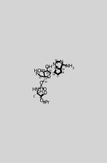 CC(C)OC(=O)[C@H](C)N[PH](=O)OC[C@@]1(CF)O[C@@H](c2ccc3c(N)ncnn23)[C@H](O)[C@@H]1O